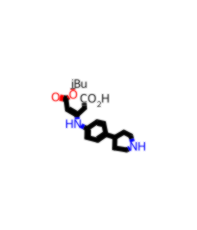 CCC(C)OC(=O)C=C(CC(=O)O)Nc1ccc(C2CCNCC2)cc1